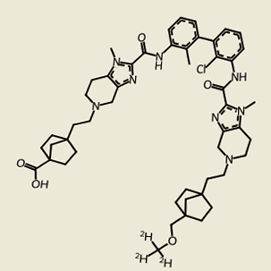 [2H]C([2H])([2H])OCC12CCC(CCN3CCc4c(nc(C(=O)Nc5cccc(-c6cccc(NC(=O)c7nc8c(n7C)CCN(CCC79CCC(C(=O)O)(CC7)C9)C8)c6C)c5Cl)n4C)C3)(CC1)C2